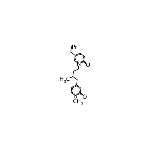 CC(C)Cc1ccc(=O)n(CCC(C)Cc2ccn(C)c(=O)c2)c1